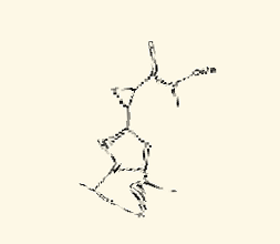 CON(C)C(=O)C1CC1c1nc2c(C)ncc(C)n2n1